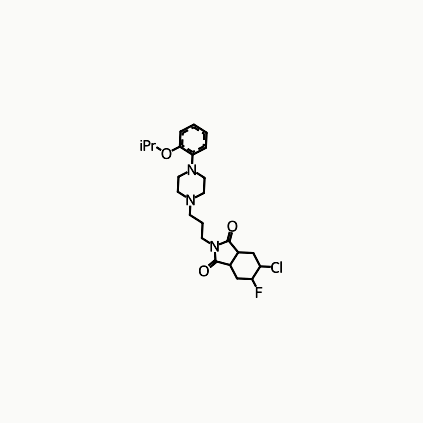 CC(C)Oc1ccccc1N1CCN(CCCN2C(=O)C3CC(F)C(Cl)CC3C2=O)CC1